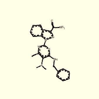 Cc1nc(-n2nc(C(N)=O)c3ccccc32)nc(NCc2ccccc2)c1N(C)C